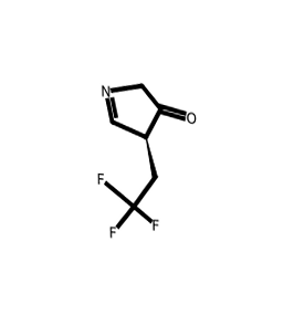 O=C1CN=C[C@@H]1CC(F)(F)F